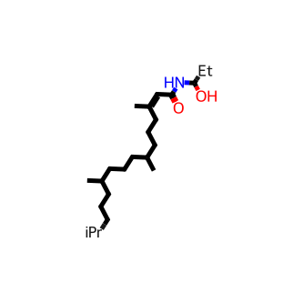 CCC(O)NC(=O)C=C(C)CCCC(C)CCCC(C)CCCC(C)C